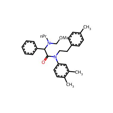 CCCN(COC)C(C(=O)N(CCc1ccc(C)cc1)c1ccc(C)c(C)c1)c1ccccc1